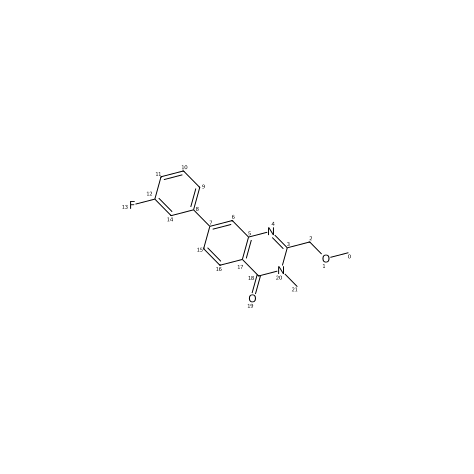 COCc1nc2cc(-c3cccc(F)c3)ccc2c(=O)n1C